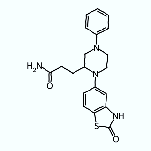 NC(=O)CCC1CN(c2ccccc2)CCN1c1ccc2sc(=O)[nH]c2c1